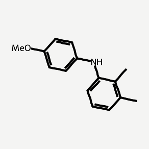 COc1ccc(Nc2cccc(C)c2C)cc1